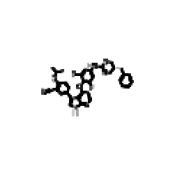 CC(C)Oc1ccc(-c2c[nH]c3nccc(Oc4c(F)cc(NC5=NC[C@@H](Cc6ccccc6)CO5)cc4F)c23)cc1C#N